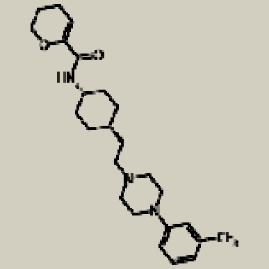 O=C(N[C@H]1CC[C@H](CCN2CCN(c3cccc(C(F)(F)F)c3)CC2)CC1)C1=CCCCO1